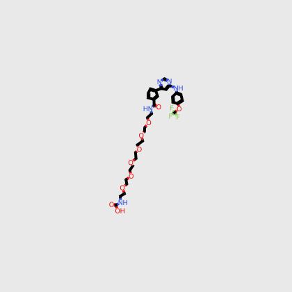 O=C(O)NCCOCCOCCOCCOCCOCCOCCNC(=O)c1cccc(-c2cc(Nc3ccc(OC(F)(F)F)cc3)ncn2)c1